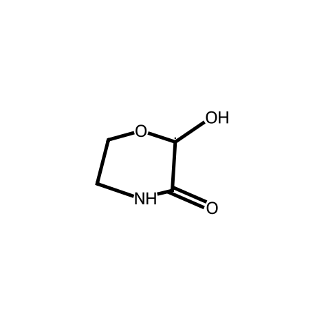 O=C1NCCO[C]1O